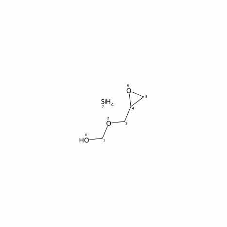 OCOCC1CO1.[SiH4]